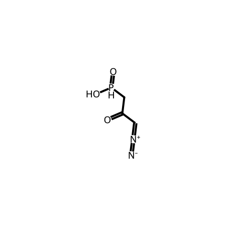 [N-]=[N+]=CC(=O)C[PH](=O)O